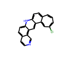 ClC1=CC=Cc2ccc3c(c2=C1)=Cc1c(ccc2ccncc12)N3